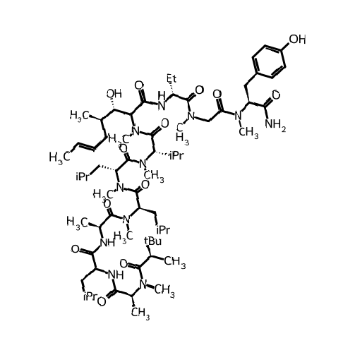 C/C=C/C[C@@H](C)[C@H](O)C(C(=O)N[C@H](CC)C(=O)N(C)CC(=O)N(C)[C@@H](Cc1ccc(O)cc1)C(N)=O)N(C)C(=O)[C@H](C(C)C)N(C)C(=O)[C@@H](CC(C)C)N(C)C(=O)[C@@H](CC(C)C)N(C)C(=O)[C@H](C)NC(=O)C(CC(C)C)NC(=O)[C@H](C)N(C)C(=O)[C@H](C)C(C)(C)C